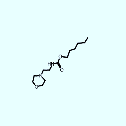 CCCCCCOC(=O)NCCN1CCOCC1